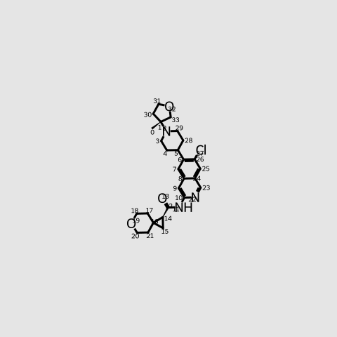 C[C@@]1(N2CCC(c3cc4cc(NC(=O)[C@H]5CC56CCOCC6)ncc4cc3Cl)CC2)CCOC1